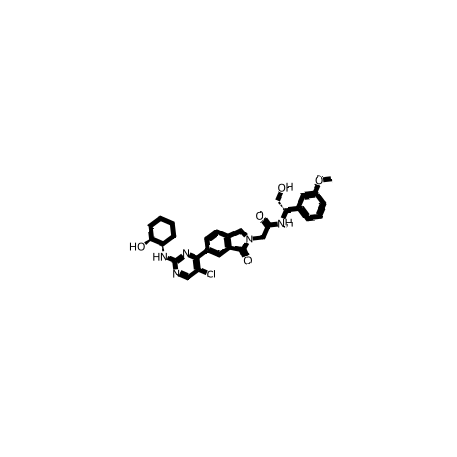 COc1cccc([C@@H](CO)NC(=O)CN2Cc3ccc(-c4nc(N[C@H]5CCCC[C@@H]5O)ncc4Cl)cc3C2=O)c1